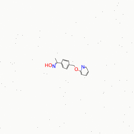 CC(=NO)c1ccc(COc2ccccn2)cc1